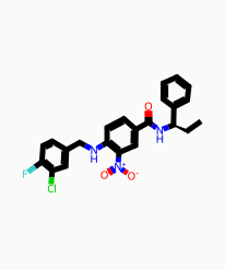 CC[C@@H](NC(=O)c1ccc(NCc2ccc(F)c(Cl)c2)c([N+](=O)[O-])c1)c1ccccc1